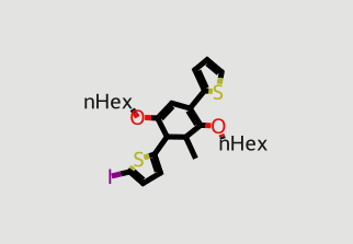 CCCCCCOC1=CC(c2cccs2)=C(OCCCCCC)C(C)C1c1ccc(I)s1